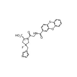 O=C(NCC(=O)N1C[C@@](F)(Cn2ccnc2)C[C@H]1C(=O)O)c1ccc2c(c1)Oc1ccccc1S2